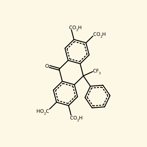 O=C(O)c1cc2c(cc1C(=O)O)C(c1ccccc1)(C(F)(F)F)c1cc(C(=O)O)c(C(=O)O)cc1C2=O